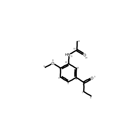 CCC(=O)c1ccc(OC)c(NC(C)=O)c1